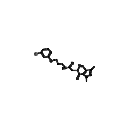 Cc1nn(C)c2c1C=NC(CC(=O)NCCCOc1cccc(Cl)c1)C2=O